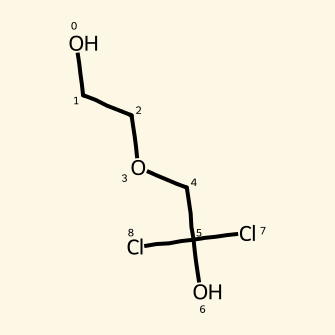 OCCOCC(O)(Cl)Cl